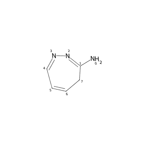 NC1=NN=CC=CC1